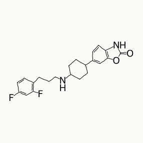 O=c1[nH]c2ccc(C3CCC(NCCCc4ccc(F)cc4F)CC3)cc2o1